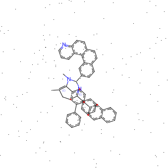 C/C1=C(/c2ccc(-c3ccc4ccccc4c3)c(-c3ccccc3)c2)N(C)C(c2ccc3ccc4ccc5ncccc5c4c3c2)/N=C(/c2ccccc2)CC1